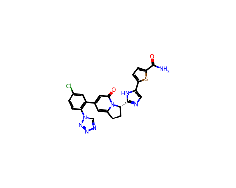 NC(=O)c1ccc(-c2cnc([C@@H]3CCc4cc(-c5cc(Cl)ccc5-n5cnnn5)cc(=O)n43)[nH]2)s1